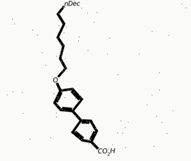 CCCCCCCCCCCCCCCCOc1ccc(-c2ccc(C(=O)O)cc2)cc1